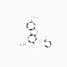 CCC1=CC=C[C]1(CC)[Zr+2][c]1c(C(C)(C)C)ccc2c1Cc1cc(C(C)(C)C)ccc1-2.[Cl-].[Cl-]